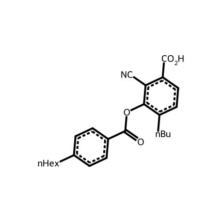 CCCCCCc1ccc(C(=O)Oc2c(CCCC)ccc(C(=O)O)c2C#N)cc1